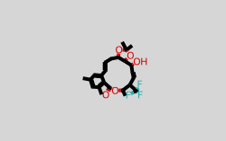 Cc1cc(C)c2c(c1)/C=C/CC1OC(C)(C)OC1C(O)/C=C\C(C(F)(F)F)C(C)OC2=O